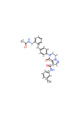 CCC(=O)NCc1ccccc1Cc1ccc(N2CCn3ncc(C(=O)Nc4cccc(C#N)c4)c3C2=O)cc1